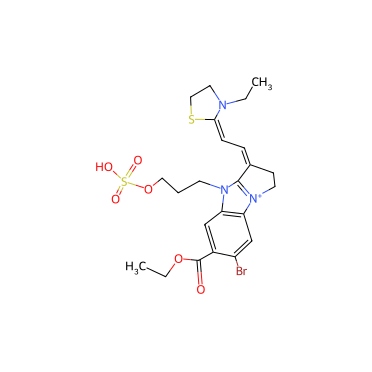 CCOC(=O)c1cc2c(cc1Br)[n+]1c(n2CCCOS(=O)(=O)O)/C(=C\C=C2\SCCN2CC)CC1